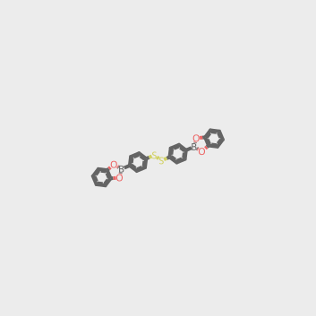 c1ccc2c(c1)OB(c1ccc(SSc3ccc(B4Oc5ccccc5O4)cc3)cc1)O2